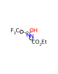 CCOC(=O)c1ccc(N2CC(c3ccc(C(F)(F)F)cc3)C[C@H]2CO)nc1